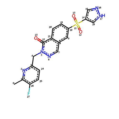 Cc1nc(Cn2ncc3cc(S(=O)(=O)c4cn[nH]c4)ccc3c2=O)ccc1F